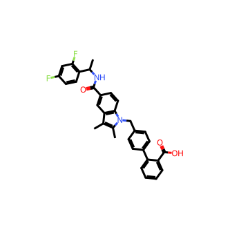 Cc1c(C)n(Cc2ccc(-c3ccccc3C(=O)O)cc2)c2ccc(C(=O)NC(C)c3ccc(F)cc3F)cc12